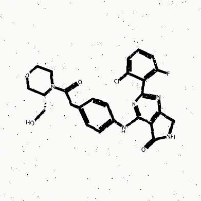 O=C1NCc2nc(-c3c(F)cccc3Cl)nc(Nc3ccc(CC(=O)N4CCOC[C@H]4CO)cc3)c21